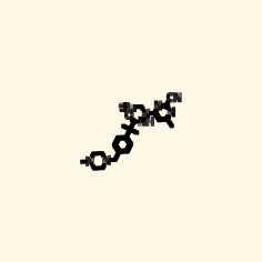 Cc1cc(N(CC(C)(C)C)NC(=O)C(C)(C)c2ccc(CN3CCN(C)CC3)cc2)nc(C#N)n1